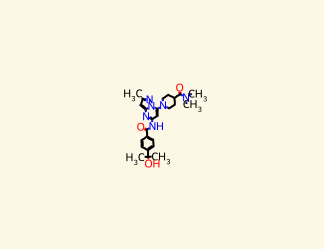 Cc1cc2nc(NC(=O)c3ccc(C(C)(C)O)cc3)cc(N3CCC(C(=O)N(C)C)CC3)n2n1